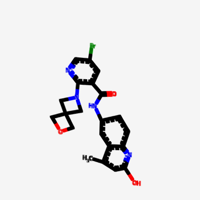 Cc1cc(O)nc2ccc(NC(=O)c3cc(Br)cnc3N3CC4(COC4)C3)cc12